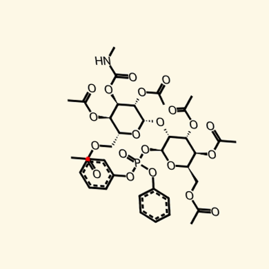 CNC(=O)O[C@H]1[C@H](OC(C)=O)[C@H](O[C@H]2[C@H](OP(=O)(Oc3ccccc3)Oc3ccccc3)O[C@H](COC(C)=O)[C@H](OC(C)=O)[C@H]2OC(C)=O)O[C@H](COC(C)=O)[C@H]1OC(C)=O